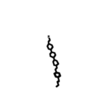 CCC=Cc1ccc(CCC2CCC(C3CCC(C4CCC(CCF)CC4)CC3)CC2)cc1